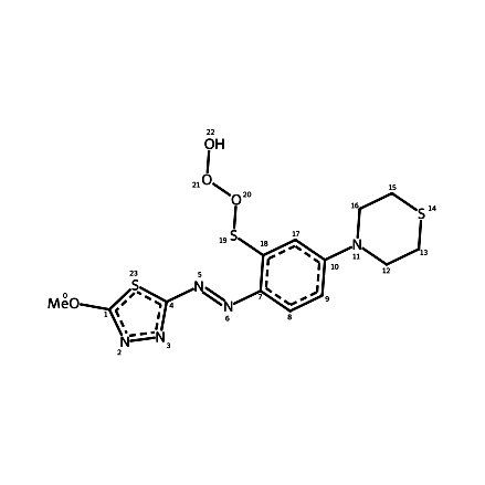 COc1nnc(N=Nc2ccc(N3CCSCC3)cc2SOOO)s1